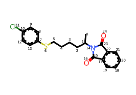 CC(CCCCSc1ccc(Cl)cc1)N1C(=O)c2ccccc2C1=O